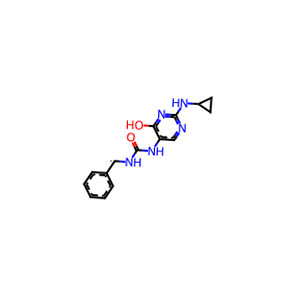 O=C(N[CH]c1ccccc1)Nc1cnc(NC2CC2)nc1O